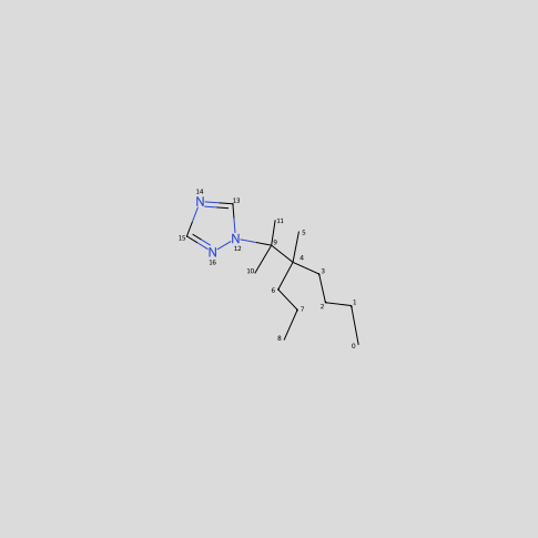 CCCCC(C)(CCC)C(C)(C)n1cncn1